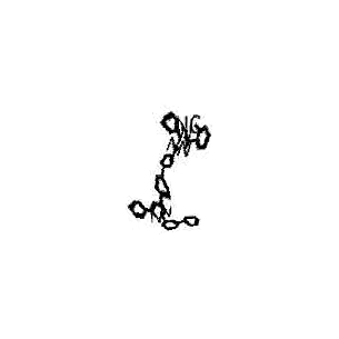 N#Cc1ccccc1-c1nc(-c2ccccc2)nc(-c2ccc(-c3ccc(-c4cc(-c5ccccc5)nc(-c5cccc(-c6ccccc6)c5)n4)cc3)cc2)n1